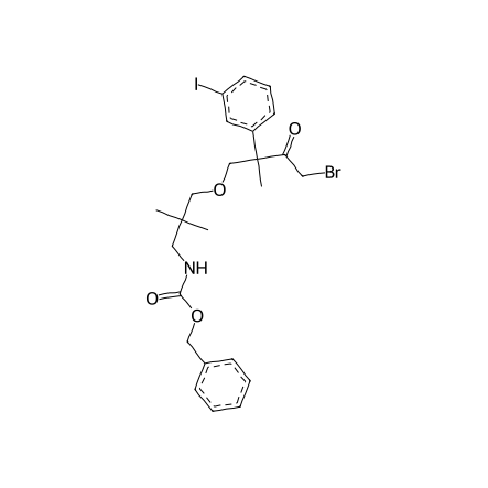 CC(C)(CNC(=O)OCc1ccccc1)COCC(C)(C(=O)CBr)c1cccc(I)c1